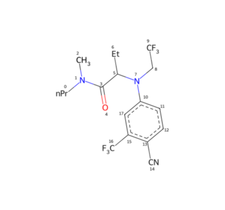 CCCN(C)C(=O)C(CC)N(CC(F)(F)F)c1ccc(C#N)c(C(F)(F)F)c1